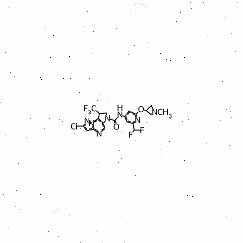 CN1CC(Oc2cc(NC(=O)N3CC(C(F)(F)F)c4c3cnc3cc(Cl)nn43)cc(C(F)F)n2)C1